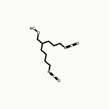 N#COCC(CCCCN=C=O)CCCN=C=O